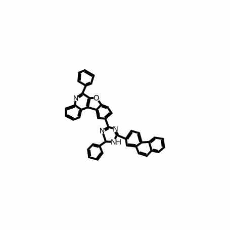 c1ccc(-c2nc3ccccc3c3c2oc2ccc(C4=NC(c5ccccc5)NC(c5ccc6c(ccc7ccccc76)c5)=N4)cc23)cc1